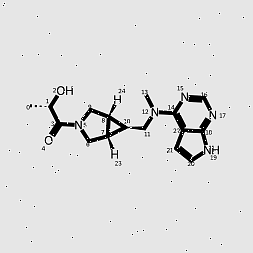 C[C@H](O)C(=O)N1C[C@@H]2[C@H](C1)[C@H]2CN(C)c1ncnc2[nH]ccc12